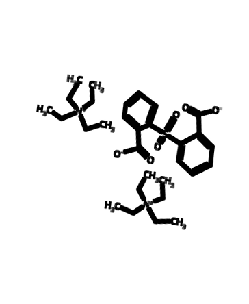 CC[N+](CC)(CC)CC.CC[N+](CC)(CC)CC.O=C([O-])c1ccccc1S(=O)(=O)c1ccccc1C(=O)[O-]